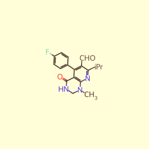 CC(C)c1nc2c(c(-c3ccc(F)cc3)c1C=O)C(=O)NCN2C